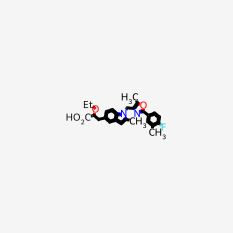 CCOC(Cc1ccc2c(c1)cc(C)n2Cc1nc(-c2ccc(F)c(C)c2)oc1C)C(=O)O